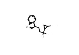 Cn1cc(CCC(N)(C(=O)O)C2CC2C(=O)O)c2ccccc21